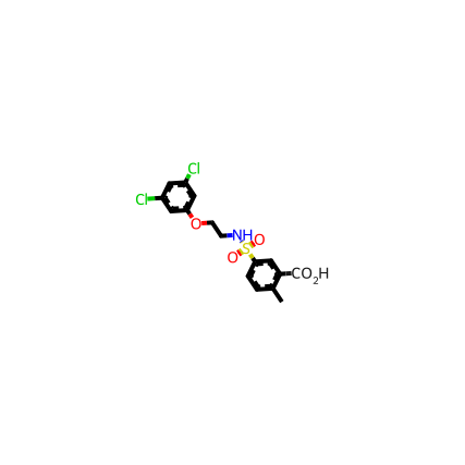 Cc1ccc(S(=O)(=O)NCCOc2cc(Cl)cc(Cl)c2)cc1C(=O)O